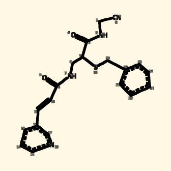 N#CCNC(=O)C(CNC(=O)C=Cc1cccnc1)SCc1ccccc1